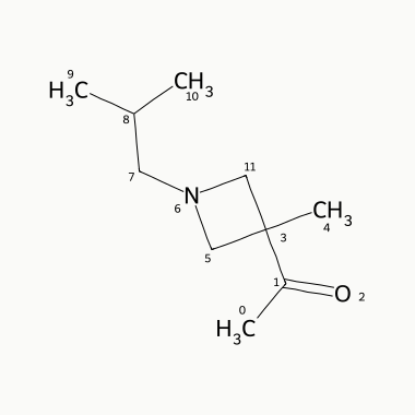 CC(=O)C1(C)CN(CC(C)C)C1